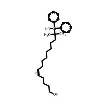 CC(C)(CCCCCCC/C=C\CCCCO)[Si](O)(c1ccccc1)c1ccccc1